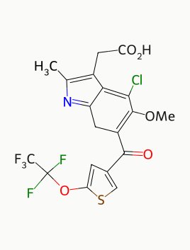 COC1=C(C(=O)c2csc(OC(F)(F)C(F)(F)F)c2)CC2=NC(C)=C(CC(=O)O)C2=C1Cl